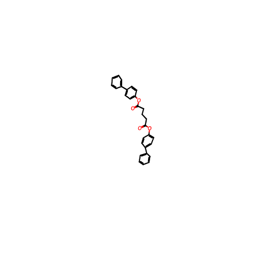 O=C(CCCC(=O)Oc1ccc(-c2ccccc2)cc1)Oc1ccc(-c2ccccc2)cc1